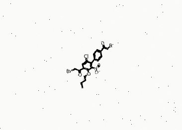 CCCCOc1c(C(=O)CBr)cc(Cl)c(-c2ccc(C(=O)CBr)cc2)c1[N+](=O)[O-]